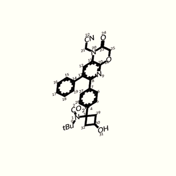 CC(C)(C)N(C(=O)O)C1(c2ccc(-c3nc4c(cc3-c3ccccc3)N(CC#N)C(=O)CO4)cc2)CC(O)C1